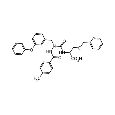 O=C(NN(Cc1cccc(Oc2ccccc2)c1)C(=O)NC(COCc1ccccc1)C(=O)O)c1ccc(C(F)(F)F)cc1